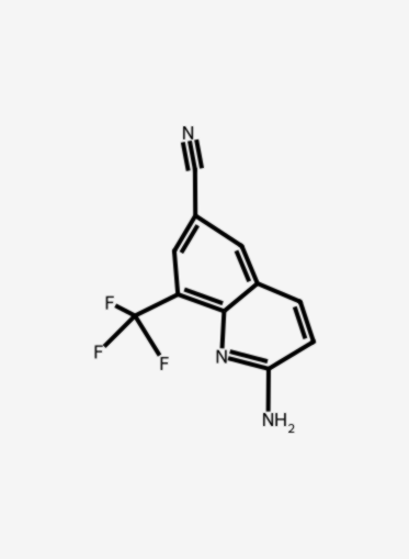 N#Cc1cc(C(F)(F)F)c2nc(N)ccc2c1